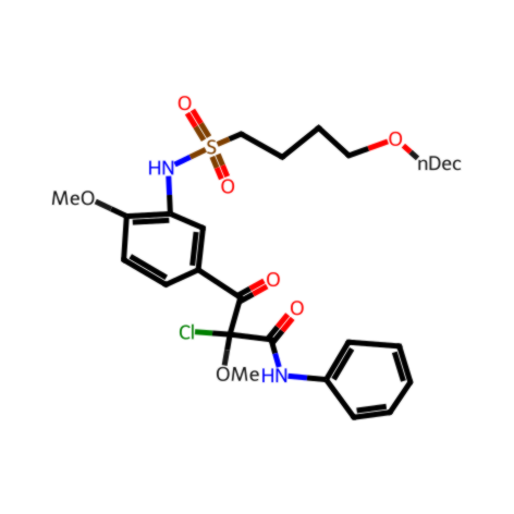 CCCCCCCCCCOCCCCS(=O)(=O)Nc1cc(C(=O)C(Cl)(OC)C(=O)Nc2ccccc2)ccc1OC